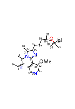 C/C=C\C(C)N1C(C2=CC=NC[C@@H]2OC)=NC(CCCC(C)(C)OC(C)(C)CC)[C@@H]1C